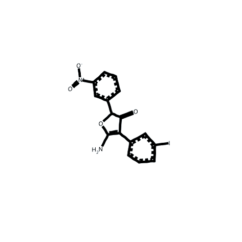 NC1=C(c2cccc(I)c2)C(=O)C(c2cccc([N+](=O)[O-])c2)O1